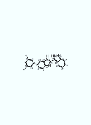 Cc1cc(C)cc(-c2ccc3nc(-c4[nH]nc5ccccc45)[nH]c3c2)c1